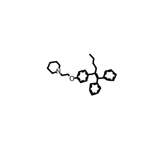 CCCCC(=C(c1ccccc1)c1ccccc1)c1ccc(OCCN2CCCCC2)cc1